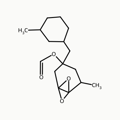 CC1CCCC(CC2(OC=O)CC(C)C34OC3(C2)O4)C1